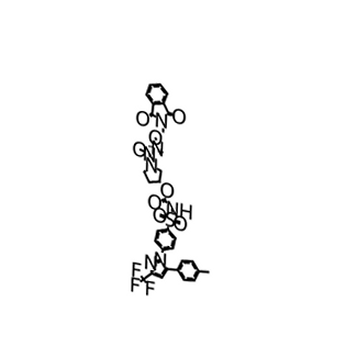 Cc1ccc(-c2cc(C(F)(F)F)nn2-c2ccc(S(=O)(=O)NC(=O)OC3CCN([N+]([O-])=NOCN4C(=O)c5ccccc5C4=O)C3)cc2)cc1